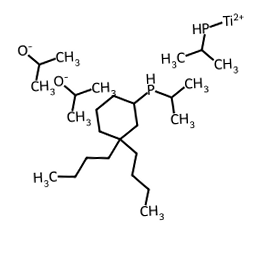 CC(C)[O-].CC(C)[O-].CC(C)[PH][Ti+2].CCCCC1(CCCC)CCCC(PC(C)C)C1